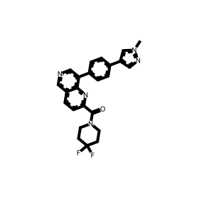 Cn1cc(-c2ccc(-c3cncc4ccc(C(=O)N5CCC(F)(F)CC5)nc34)cc2)cn1